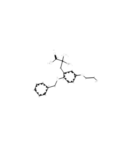 CC(N)(Cc1cc(OCCF)ccc1OCc1ccccc1)C(=O)O